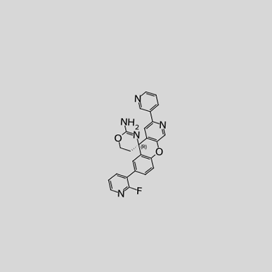 NC1=N[C@]2(CCO1)c1cc(-c3cccnc3F)ccc1Oc1cnc(-c3cccnc3)cc12